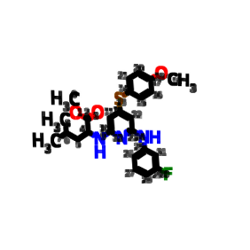 COC(=O)C(CC(C)C)Nc1cc(Sc2ccc(OC)cc2)cc(Nc2cccc(F)c2)n1